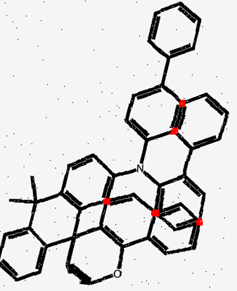 CC1(C)c2ccccc2C2(c3ccccc3Oc3c2ccc2ccccc32)c2cc(N(c3ccc(-c4ccccc4)cc3)c3ccccc3-c3ccccc3)ccc21